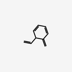 C=CC1C=CC=CC1=C